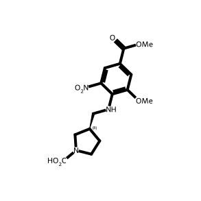 COC(=O)c1cc(OC)c(NC[C@H]2CCN(C(=O)O)C2)c([N+](=O)[O-])c1